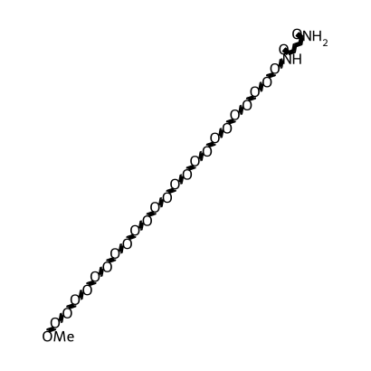 COCCOCCOCCOCCOCCOCCOCCOCCOCCOCCOCCOCCOCCOCCOCCOCCOCCOCCOCCOCCOCCOCCOCCOCCNC(=O)CCCC(N)=O